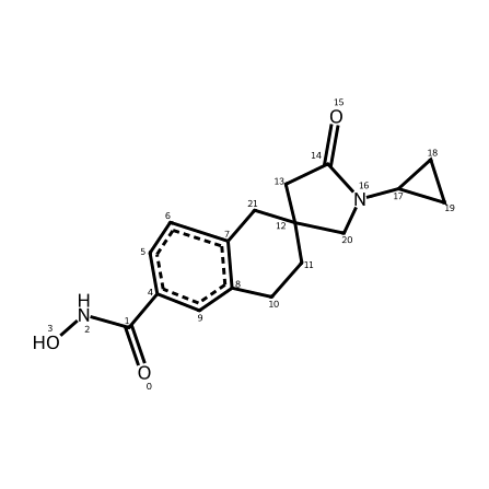 O=C(NO)c1ccc2c(c1)CCC1(CC(=O)N(C3CC3)C1)C2